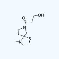 CN1CCSC12CCN(C(=O)CCO)C2